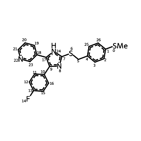 CSc1ccc(CSc2nc(-c3ccc(F)cc3)c(-c3cccnc3)[nH]2)cc1